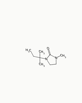 CCC(C)(C)N1CCN(C)C1=O